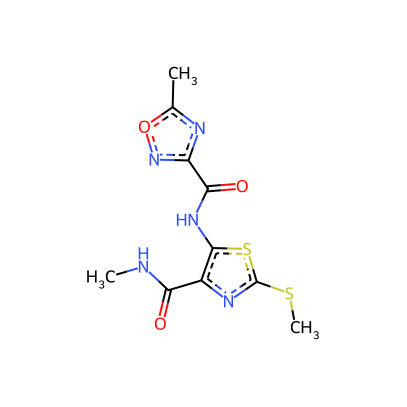 CNC(=O)c1nc(SC)sc1NC(=O)c1noc(C)n1